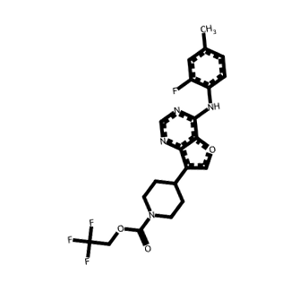 Cc1ccc(Nc2ncnc3c(C4CCN(C(=O)OCC(F)(F)F)CC4)coc23)c(F)c1